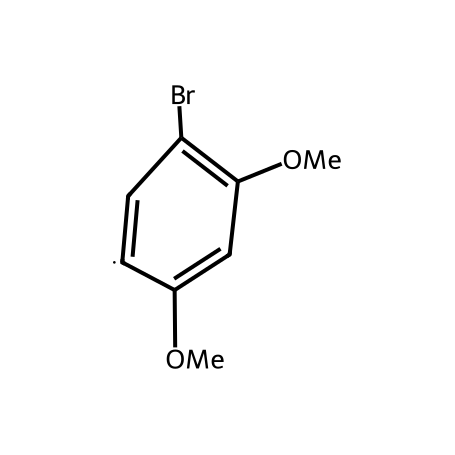 COc1[c]cc(Br)c(OC)c1